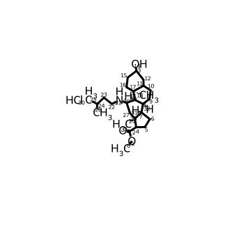 COC(=O)C1CC[C@H]2[C@@H]3CCC4CC(O)CC[C@]4(C)[C@@H]3C(NCCC(C)C)C[C@]12C.Cl